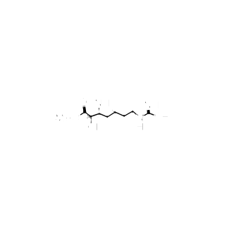 COC(=O)[C@H](O)[C@@H](N)CCCCNC(C)=N